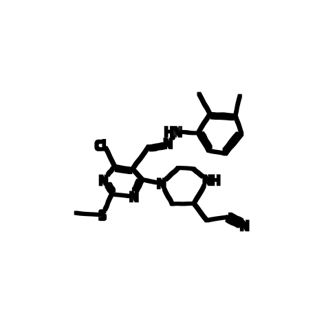 CSc1nc(Cl)c(/C=N/Nc2cccc(C)c2C)c(N2CCNC(CC#N)C2)n1